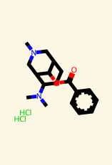 CN1CC2CCC(N(C)C)C(C1)C2OC(=O)c1ccccc1.Cl.Cl